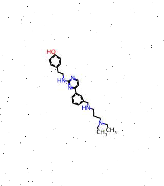 CCN(CC)CCCNCc1cccc(-c2ccnc(NCCc3ccc(O)cc3)n2)c1